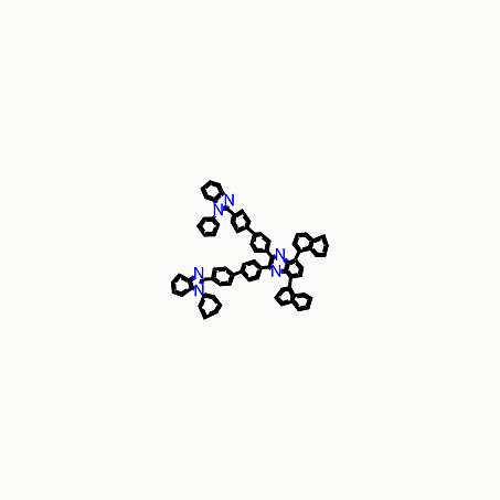 c1ccc(-n2c(-c3ccc(-c4ccc(-c5nc6c(-c7cccc8ccccc78)ccc(-c7cccc8ccccc78)c6nc5-c5ccc(-c6ccc(-c7nc8ccccc8n7-c7ccccc7)cc6)cc5)cc4)cc3)nc3ccccc32)cc1